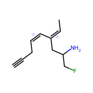 C#CC/C=C\C(=C/C)CC(N)CF